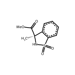 COC(=O)[C@]1(C)NS(=O)(=O)c2ccccc21